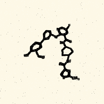 Cc1nc(C(=O)NC2CCC(NC(=O)c3cc(F)cnc3Oc3cccc(-c4ccc(O)c(C=O)c4)c3)CC2)cs1